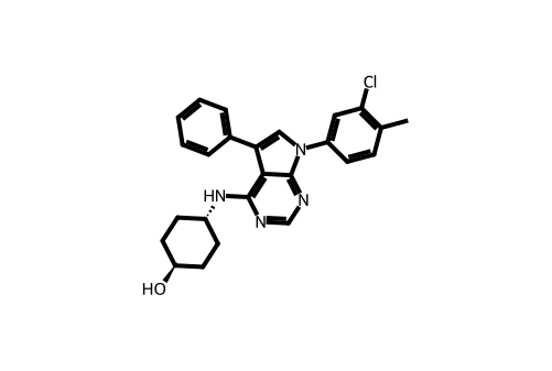 Cc1ccc(-n2cc(-c3ccccc3)c3c(N[C@H]4CC[C@H](O)CC4)ncnc32)cc1Cl